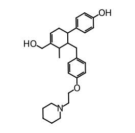 CC1C(CO)=CCC(c2ccc(O)cc2)C1Cc1ccc(OCCN2CCCCC2)cc1